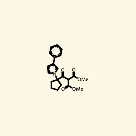 COC(=O)C(C(=O)OC)C(=O)C1(n2ccc(-c3ccccc3)c2)CCCC1